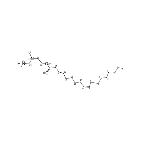 CCCCCCCC/C=C\CCCCCCCC(=O)OCCN(C)CN